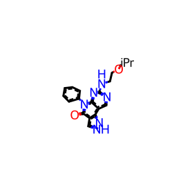 CC(C)OCCNc1ncc2c3n[nH]cc3c(=O)n(-c3ccccc3)c2n1